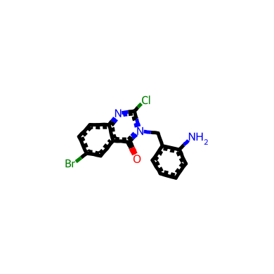 Nc1ccccc1Cn1c(Cl)nc2ccc(Br)cc2c1=O